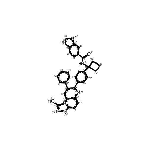 O=C(NC1(c2ccc(-c3nc4ccc5nnc(O)n5c4cc3-c3ccccc3)cc2)CCC1)c1ccc2[nH]cnc2c1